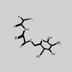 CC(C)C(N)C(=O)NC(C(=O)OCC1OC(O)C(N)C(O)C1O)C(C)C